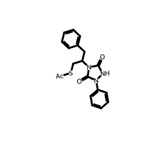 CC(=O)SCC(Cc1ccccc1)n1c(=O)[nH]n(-c2ccccc2)c1=O